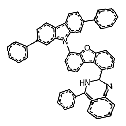 c1ccc(C2=c3ccccc3=NC(c3cccc4oc5c(-n6c7cc(-c8ccccc8)ccc7c7ccc(-c8ccccc8)cc76)cccc5c34)N2)cc1